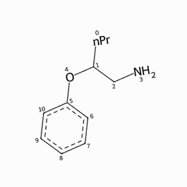 CCCC(CN)Oc1ccccc1